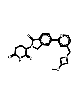 COC1CN(Cc2ccnc(-c3ccc4c(c3)CN(C3CCC(=O)NC3=O)C4=O)c2)C1